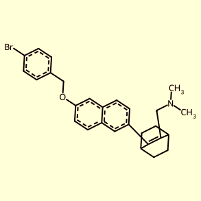 CN(C)CC1=C(c2ccc3cc(OCc4ccc(Br)cc4)ccc3c2)C2CCC1CC2